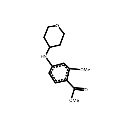 COC(=O)c1ccc(NC2CCOCC2)cc1OC